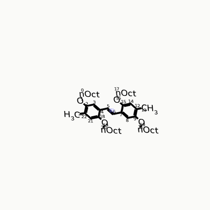 CCCCCCCCOc1cc(/C=C/c2cc(OCCCCCCCC)c(C)cc2OCCCCCCCC)c(OCCCCCCCC)cc1C